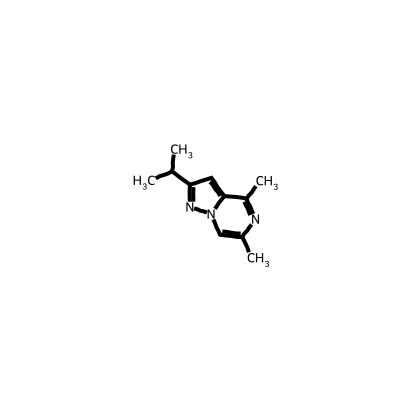 Cc1cn2nc(C(C)C)cc2c(C)n1